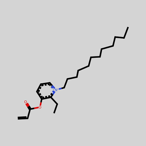 C=CC(=O)Oc1ccc[n+](CCCCCCCCCCCC)c1CC